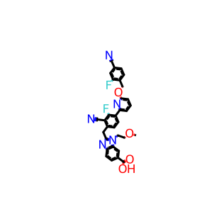 COCCn1c(Cc2ccc(-c3cccc(OCc4ccc(C#N)cc4F)n3)c(F)c2C#N)nc2ccc(C(=O)O)cc21